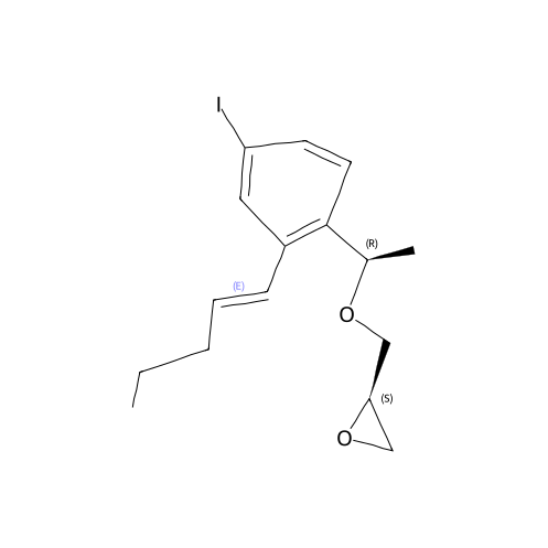 CCC/C=C/c1cc(I)ccc1[C@@H](C)OC[C@H]1CO1